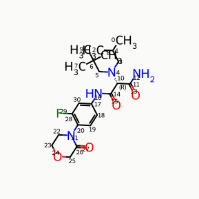 CC(C)CN(CC(C)(C)C)[C@H](C(N)=O)C(=O)Nc1ccc(N2CCOCC2=O)c(F)c1